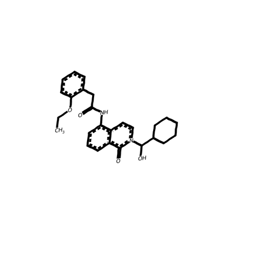 CCOc1ccccc1CC(=O)Nc1cccc2c(=O)n(C(O)C3CCCCC3)ccc12